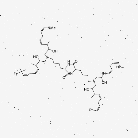 CCC(C)(C)/C=C\C/C=C\C(C)C(O)CN(CCCCC1NC(=O)C(CCCCN(CC(O)N/C=C\C/C=C\PC)CC(O)C(C)/C=C\C/C=C\C(C)C)NC1=O)CC(O)C(C)/C=C\C/C=C\NC